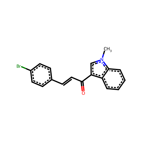 Cn1cc(C(=O)C=Cc2ccc(Br)cc2)c2ccccc21